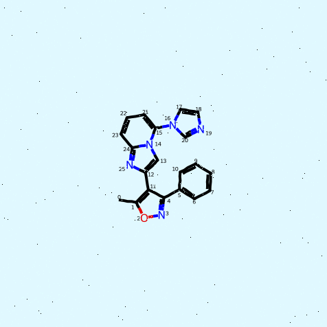 Cc1onc(-c2ccccc2)c1-c1cn2c(-n3ccnc3)cccc2n1